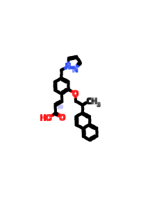 CC(COc1cc(Cn2cccn2)ccc1/C=C/C(=O)O)c1ccc2ccccc2c1